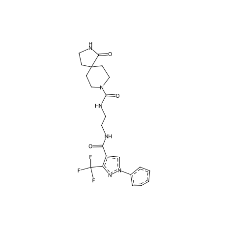 O=C(NCCNC(=O)N1CCC2(CCNC2=O)CC1)c1cn(-c2ccccc2)nc1C(F)(F)F